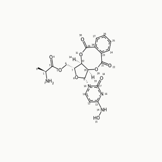 C[C@H](N)C(=O)OC[C@H]1O[C@@H](n2ccc(NO)nc2=O)[C@@H]2OC(=O)c3ccccc3C(=O)O[C@@H]21